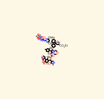 CCOC(=O)C1=NOC(c2ccccc2)(c2ccccc2)C1.CCc1cc(C)cc(CC)c1-c1c(OC(=O)C(C)(C)C)n2n(c1=O)CCOCC2.COc1cc(OC)nc(NC(=O)NS(=O)(=O)N(C)S(C)(=O)=O)n1.Cc1c(C(=O)c2cnn(C)c2O)ccc(S(C)(=O)=O)c1C1=NOCC1